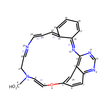 O=C(O)N1/C=C/Oc2ccc3ncnc(c3c2)\N=c2/cccc/c2=C\C=C\N=C/C1